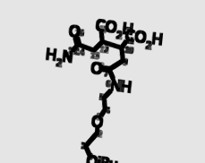 CC(C)COCCOCCNC(=O)CC(C(=O)O)C(CC(N)=O)C(=O)O